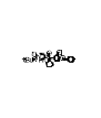 CC(C)(C)OC(=O)N1CCN(C(=O)C(c2ccc(OCc3ccccc3)c(Cl)c2)C2(O)CCCCC2)CC1